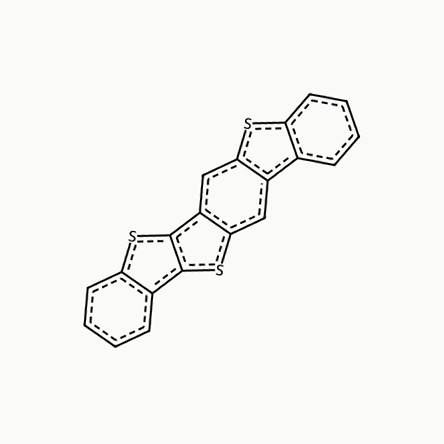 c1ccc2c(c1)sc1cc3c(cc12)sc1c2ccccc2sc31